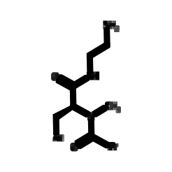 CC(=O)C[C@@H](C(=O)NCCN)N(C)C(=O)C(C)C